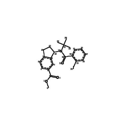 COC(=O)c1ccc2c(c1)C(N(C(=O)c1ccccc1I)C(C)(C)C)CC2